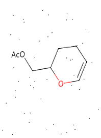 CC(=O)OCC1CCC=CO1